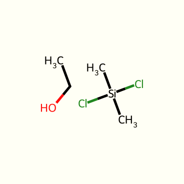 CCO.C[Si](C)(Cl)Cl